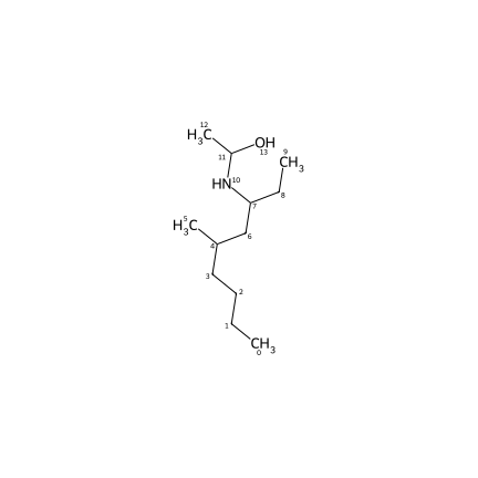 CCCCC(C)CC(CC)NC(C)O